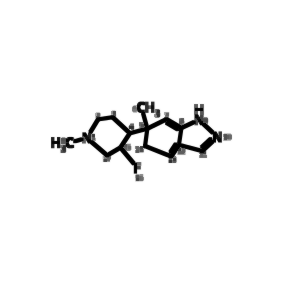 CN1CCC(C2(C)C=c3[nH]ncc3=CC2)C(F)C1